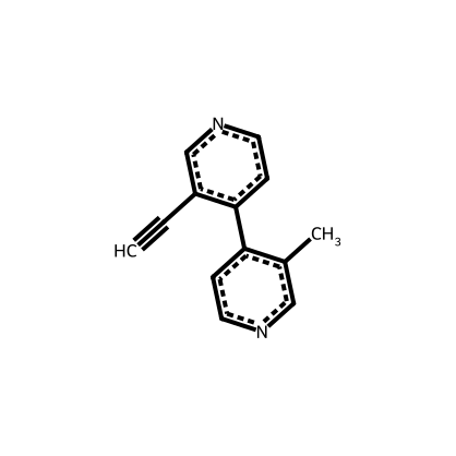 C#Cc1cnccc1-c1ccncc1C